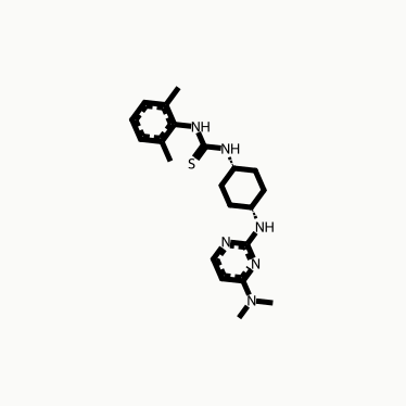 Cc1cccc(C)c1NC(=S)N[C@H]1CC[C@@H](Nc2nccc(N(C)C)n2)CC1